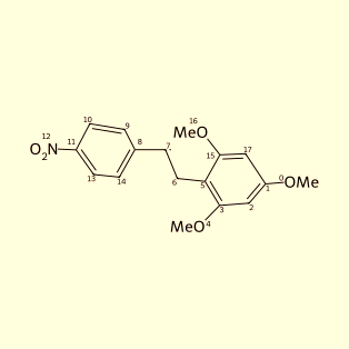 COc1cc(OC)c(C[CH]c2ccc([N+](=O)[O-])cc2)c(OC)c1